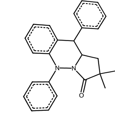 CC1(C)CC2C(c3ccccc3)c3ccccc3N(c3ccccc3)N2C1=O